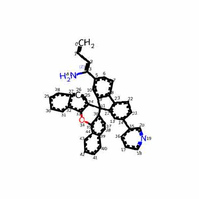 C=C/C=C(\N)c1ccc2c(c1)C1(c3cc(-c4cccnc4)ccc3-2)c2ccc3ccccc3c2Oc2c1ccc1ccccc21